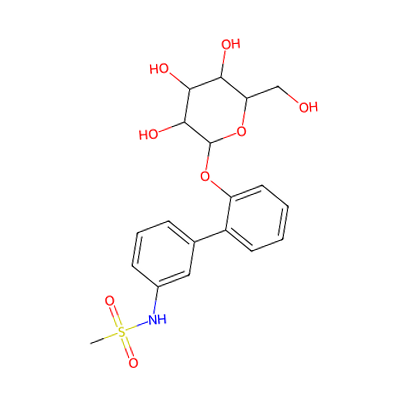 CS(=O)(=O)Nc1cccc(-c2ccccc2OC2OC(CO)C(O)C(O)C2O)c1